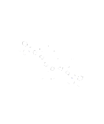 [C-]#[N+]C([N+]#[C-])=C1/C(=C/c2cc3c(s2)-c2sc(-c4cc5c(s4)-c4sc(-c6cc7c(s6)-c6sc(/C=C8\C(=O)c9cc(Cl)c(Cl)cc9C8=C(C#N)C#N)cc6C(=O)C7(CCCCCCCCCCCC)CCCCCCCCCCCC)cc4C(CCCCCCCCCCCC)(CCCCCCCCCCCC)O5)cc2C(CCCCCCCCCCCC)(CCCCCCCCCCCC)C3=O)C(=O)c2cc(Cl)c(Cl)cc21